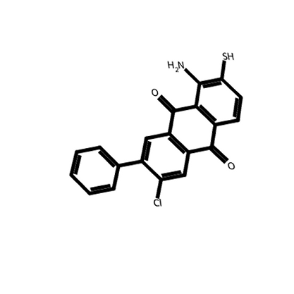 Nc1c(S)ccc2c1C(=O)c1cc(-c3ccccc3)c(Cl)cc1C2=O